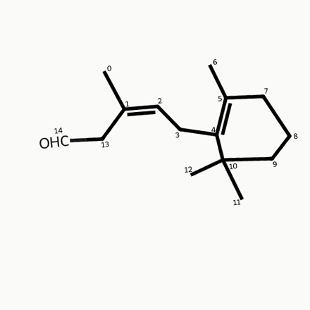 CC(=CCC1=C(C)CCCC1(C)C)CC=O